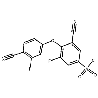 N#Cc1ccc(Oc2c(F)cc(S(=O)(=O)Cl)cc2C#N)cc1F